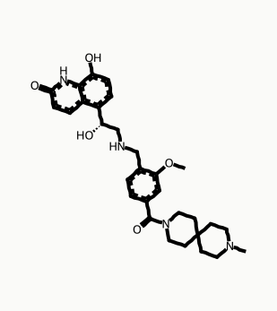 COc1cc(C(=O)N2CCC3(CCN(C)CC3)CC2)ccc1CNC[C@H](O)c1ccc(O)c2[nH]c(=O)ccc12